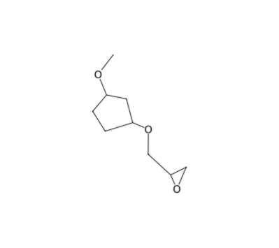 COC1CCC(OCC2CO2)C1